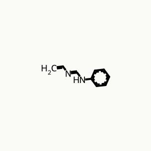 C=C/N=C/Nc1ccccc1